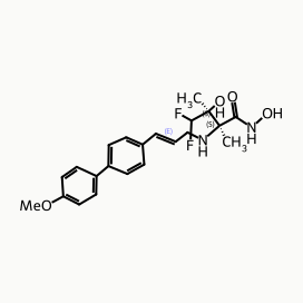 COc1ccc(-c2ccc(/C=C/CN[C@](C)(C(=O)NO)[C@](C)(O)C(F)F)cc2)cc1